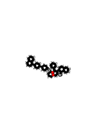 c1ccc(N(c2ccc(-c3ccc(-c4cccc5ccccc45)cc3)cc2)c2ccccc2-c2cccc3oc4c5ccccc5ccc4c23)cc1